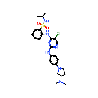 CC(C)NS(=O)(=O)c1ccccc1Nc1nc(Nc2ccc(N3CC[C@H](N(C)C)C3)cc2)ncc1Cl